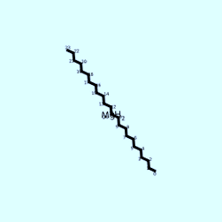 CCCCCCCCCCCCCCCCCCCCCCCC.[MgH2]